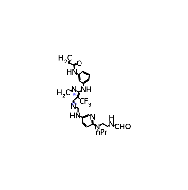 C=CC(=O)Nc1cccc(N/C(N=C)=C(/C=N\CNc2ccc(N(CCC)CCNC=O)nc2)C(F)(F)F)c1